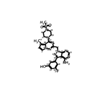 Cc1ccn2nc(Cn3nc(-c4cc(O)cc(F)c4)c4c(N)ncnc43)nc(N3CCN(S(C)(=O)=O)CC3)c12